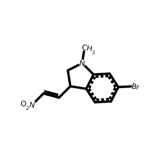 CN1CC(C=C[N+](=O)[O-])c2ccc(Br)cc21